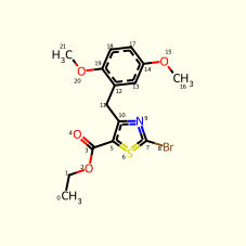 CCOC(=O)c1sc(Br)nc1Cc1cc(OC)ccc1OC